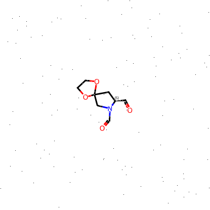 O=C[C@@H]1CC2(CN1C=O)OCCO2